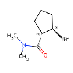 CC(C)[C@@H]1CCC[C@H]1C(=O)N(C)C